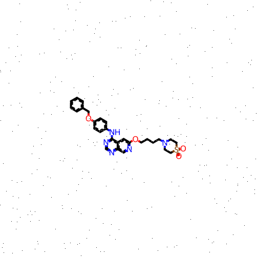 O=S1(=O)CCN(CCCCOc2cc3c(Nc4ccc(OCc5ccccc5)cc4)ncnc3cn2)CC1